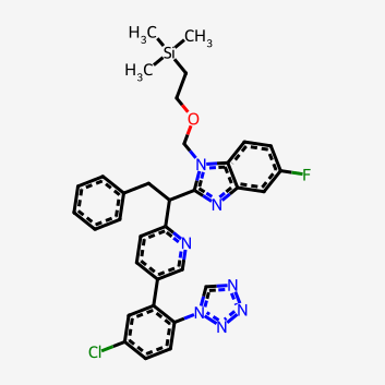 C[Si](C)(C)CCOCn1c(C(Cc2ccccc2)c2ccc(-c3cc(Cl)ccc3-n3cnnn3)cn2)nc2cc(F)ccc21